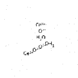 O.O.[Ce+3].[Ce+3].[O-2].[O-2].[O-2]